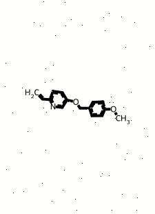 C=Cc1ccc(OCc2ccc(OC)cc2)cn1